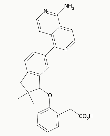 CC1(C)Cc2ccc(-c3cccc4c(N)nccc34)cc2C1Oc1ccccc1CC(=O)O